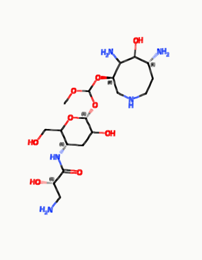 COC(O[C@H]1OC(CO)[C@@H](NC(=O)[C@@H](O)CN)CC1O)O[C@@H]1CNCC[C@@H](N)C(O)C1N